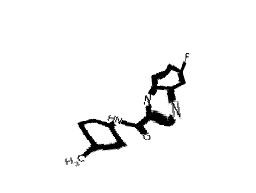 CC1CCC(NC(=O)c2cnc3cc(F)ccc3n2)CC1